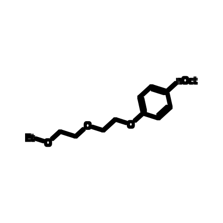 CCCCCCCCc1ccc(OCCOCCOCC)cc1